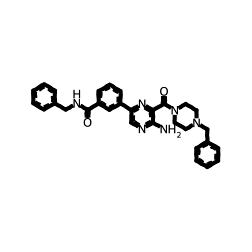 Nc1ncc(-c2cccc(C(=O)NCc3ccccc3)c2)nc1C(=O)N1CCN(Cc2ccccc2)CC1